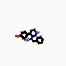 CN(Cc1ccccc1)C1CNCCC1c1ccc(O)cc1